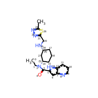 CCN(C(=O)c1cc2ncccc2[nH]1)[C@H]1CCC[C@@H](NCc2nnc(C)s2)C1